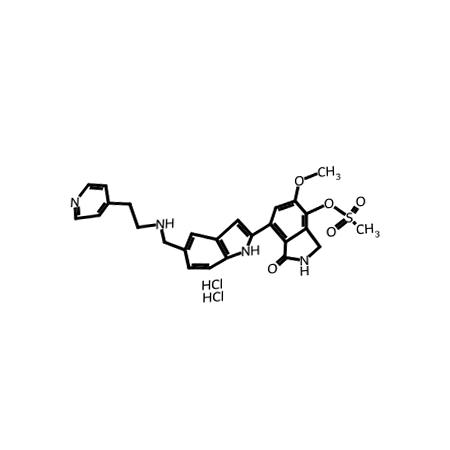 COc1cc(-c2cc3cc(CNCCc4ccncc4)ccc3[nH]2)c2c(c1OS(C)(=O)=O)CNC2=O.Cl.Cl